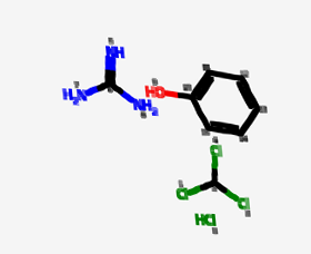 Cl.ClC(Cl)Cl.N=C(N)N.Oc1ccccc1